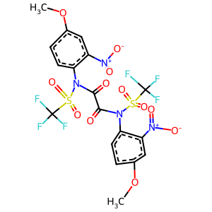 COc1ccc(N(C(=O)C(=O)N(c2ccc(OC)cc2[N+](=O)[O-])S(=O)(=O)C(F)(F)F)S(=O)(=O)C(F)(F)F)c([N+](=O)[O-])c1